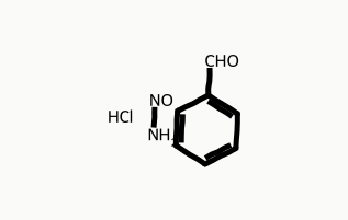 Cl.NN=O.O=Cc1ccccc1